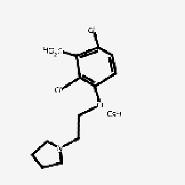 O=C(O)c1c(Cl)ccc(OCCN2CCCC2)c1Cl.[CsH]